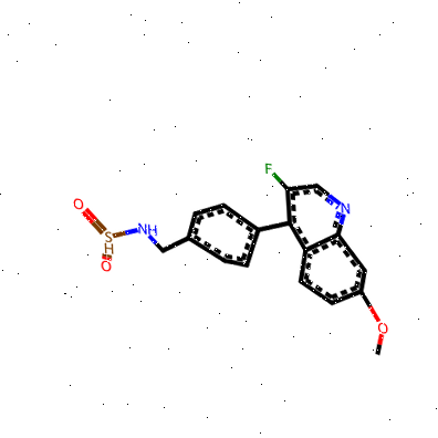 COc1ccc2c(-c3ccc(CN[SH](=O)=O)cc3)c(F)cnc2c1